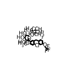 CO[C@@]1(c2ccc(Cl)c(Cc3ccc(OCC(F)(F)F)cc3)c2)O[C@H](CO[Si](C)(C)C(C)(C)C)[C@@H](O)C(O)[C@H]1O